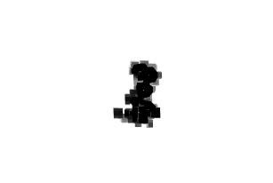 CC(C)C[C@@H](C(N)=O)N(CC#N)C(c1ccc(-c2cccc3cccnc23)cc1)C(F)(F)F